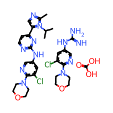 Cc1ncc(-c2ccnc(Nc3cnc(N4CCOCC4)c(Cl)c3)n2)n1C(C)C.N=C(N)Nc1cnc(N2CCOCC2)c(Cl)c1.O=C(O)O